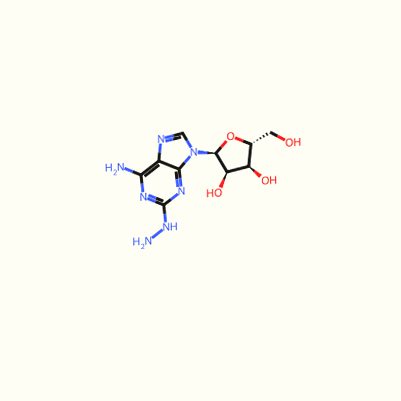 NNc1nc(N)c2ncn([C@H]3O[C@H](CO)[C@@H](O)[C@H]3O)c2n1